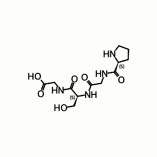 O=C(O)CNC(=O)[C@H](CO)NC(=O)CNC(=O)[C@@H]1CCCN1